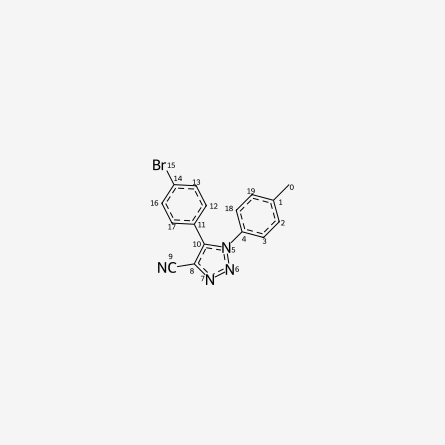 Cc1ccc(-n2nnc(C#N)c2-c2ccc(Br)cc2)cc1